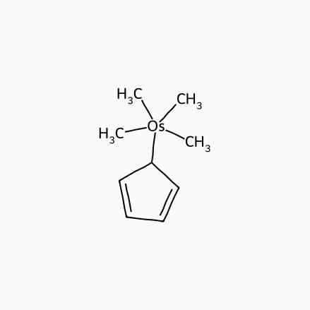 [CH3][Os]([CH3])([CH3])([CH3])[CH]1C=CC=C1